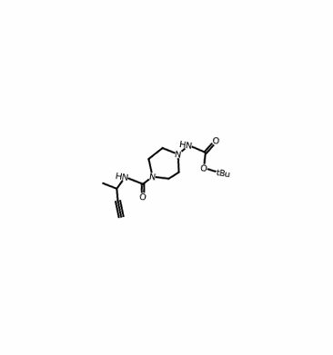 C#CC(C)NC(=O)N1CCN(NC(=O)OC(C)(C)C)CC1